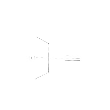 [C]#CC(O)(CC)CC